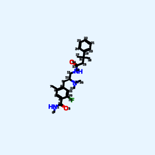 CNC(=O)c1cc(C)c(C[C@@H](CNC(=O)CC(C)(C)c2ccccc2)N(C)C)cc1F